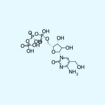 Nc1nc(=O)n([C@@H]2O[C@H](COP(=O)(O)OP(=O)(O)OP(=O)(O)O)[C@H](O)C2O)cc1CO